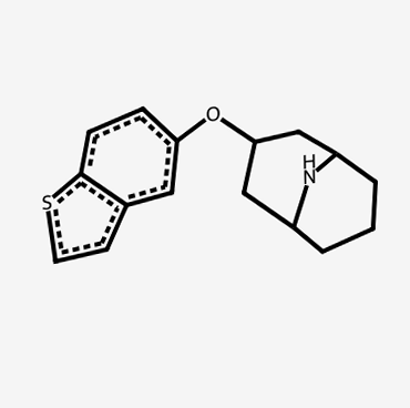 c1cc2cc(OC3CC4CCCC(C3)N4)ccc2s1